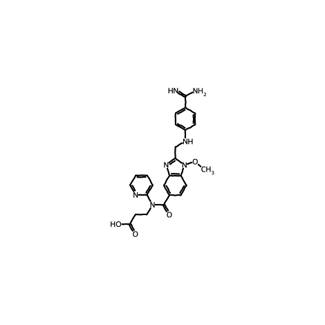 COn1c(CNc2ccc(C(=N)N)cc2)nc2cc(C(=O)N(CCC(=O)O)c3ccccn3)ccc21